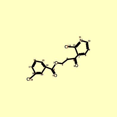 O=C(OCCC(=O)c1cccnc1Cl)c1cccc(Cl)c1